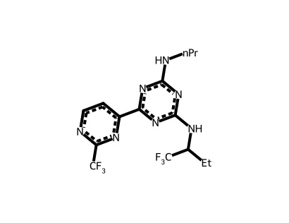 CCCNc1nc(NC(CC)C(F)(F)F)nc(-c2ccnc(C(F)(F)F)n2)n1